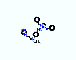 CN(CCC[N+]12CCN(CC1)CC2)c1ccc(/N=N/c2n(Cc3ccccc3)cc[n+]2Cc2ccccc2)cc1